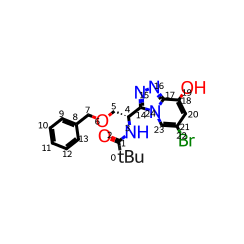 CC(C)(C)C(=O)N[C@H](COCc1ccccc1)c1nnc2c(O)cc(Br)cn12